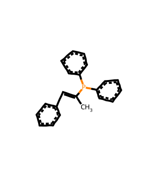 C/C(=C\c1ccccc1)P(c1ccccc1)c1ccccc1